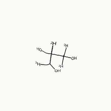 [2H]C(O)C([2H])(O)C([2H])([2H])O